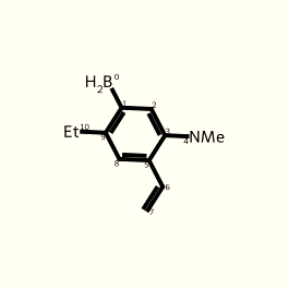 Bc1cc(NC)c(C=C)cc1CC